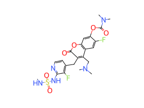 CNS(=O)(=O)Nc1nccc(Cc2c(CN(C)C)c3cc(F)c(OC(=O)N(C)C)cc3oc2=O)c1F